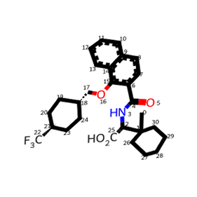 CC1(C(NC(=O)c2ccc3ccccc3c2OC[C@H]2CC[C@H](C(F)(F)F)CC2)C(=O)O)CCCCC1